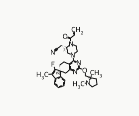 C=CC(=O)N1CCN(c2nc(OC[C@]3(C)CCCN3C)nc3c2CC[C@@]2(C3)C(F)=C(C)c3ccccc32)C[C@@H]1CC#N